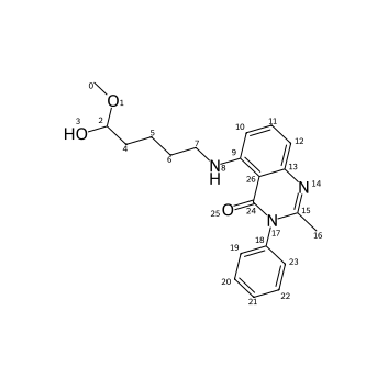 COC(O)CCCCNc1cccc2nc(C)n(-c3ccccc3)c(=O)c12